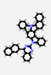 c1ccc2cc(-c3nc(-n4c5ccccc5c5c6c7ccc8ccccc8c7n7c8ccccc8c(cc54)c67)nc4ccccc34)ccc2c1